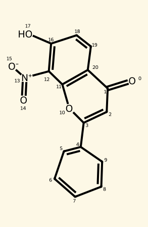 O=c1cc(-c2ccccc2)oc2c([N+](=O)[O-])c(O)ccc12